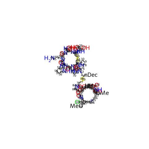 CCCCCCCCCCC(CCN[C@H](Cc1ccccc1)C(=O)N[C@H]1CSSC[C@@H](C(=O)N[C@@H](CO)[C@@H](C)O)NC(=O)[C@H]([C@@H](C)O)NC(=O)[C@H](CCCCN)NC(=O)[C@@H](Cc2c[nH]c3ccccc23)NC(=O)[C@H](Cc2ccccc2)NC1=O)SSCCC(=O)N(C)[C@@H](C)C(=O)O[C@H]1CC(=O)N(C)c2cc(cc(OC)c2Cl)C/C(C)=C/CC[C@@H](OC)[C@@]2(O)C[C@H](OC(=O)N2)[C@@H](C)[C@@H]2OC12C